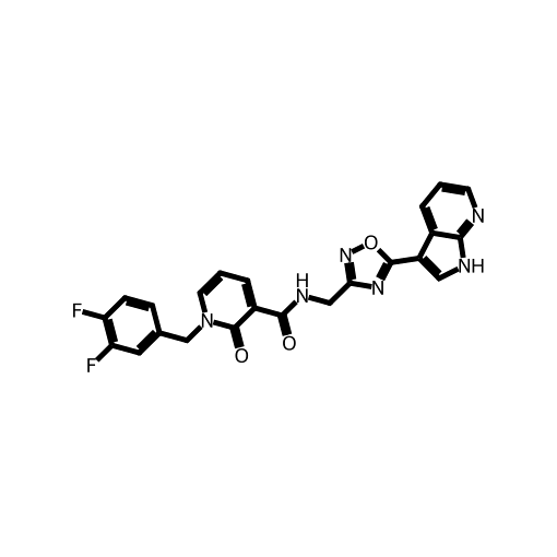 O=C(NCc1noc(-c2c[nH]c3ncccc23)n1)c1cccn(Cc2ccc(F)c(F)c2)c1=O